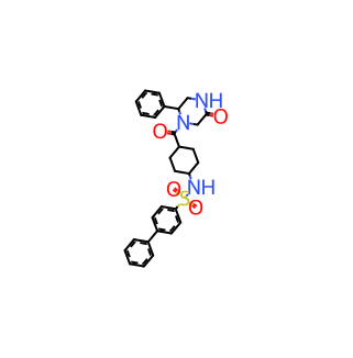 O=C1CN(C(=O)C2CCC(NS(=O)(=O)c3ccc(-c4ccccc4)cc3)CC2)C(c2ccccc2)CN1